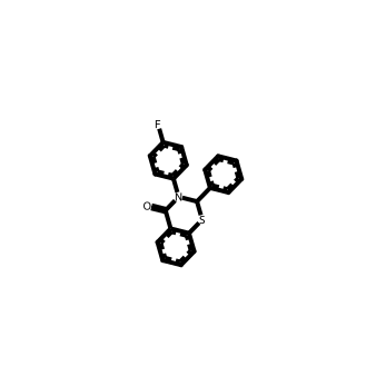 O=C1c2ccccc2SC(c2ccccc2)N1c1ccc(F)cc1